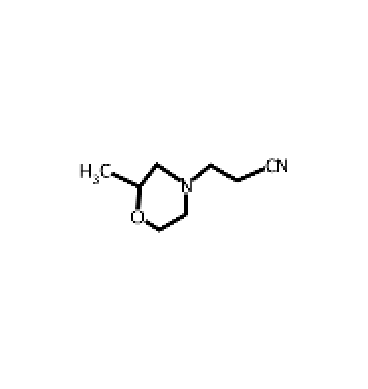 CC1CN(CCC#N)CCO1